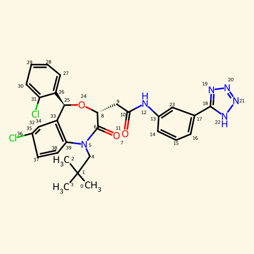 CC(C)(C)CN1C(=O)[C@@H](CC(=O)Nc2cccc(-c3nnn[nH]3)c2)O[C@H](c2ccccc2Cl)c2cc(Cl)ccc21